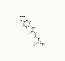 CCCCCCCCCCc1ccc(NC(=O)CCCN(C)C)cc1